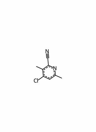 Cc1cc(Cl)c(C)c(C#N)n1